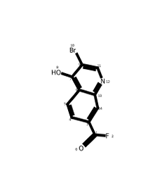 O=C(F)c1ccc2c(O)c(Br)cnc2c1